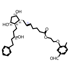 Cc1ccc(C=O)cc1OCCOC(=O)CCC/C=C/C[C@@H]1[C@@H](CC[C@@H](O)CCc2ccccc2)[C@H](O)C[C@@H]1O